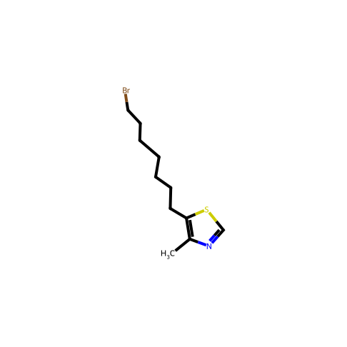 Cc1ncsc1CCCCCCCBr